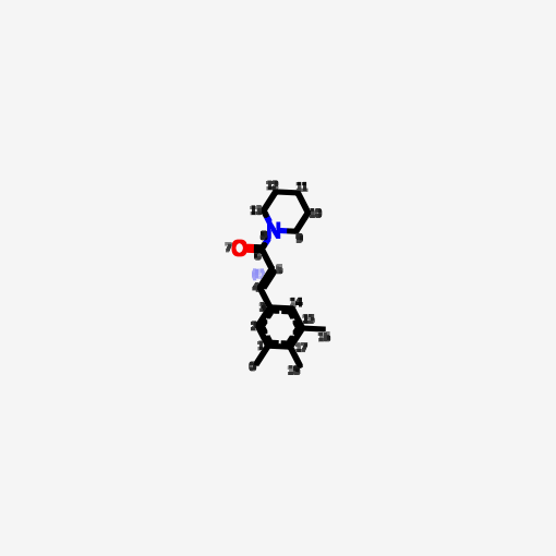 Cc1cc(/C=C/C(=O)N2CCCCC2)cc(C)c1C